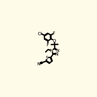 CCn1c(-c2ccc(C#N)s2)nnc1C(C)(C)Oc1c(F)cc(Cl)cc1F